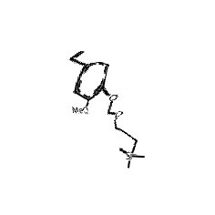 C=Cc1ccc(OCOCC[Si](C)(C)C)c(OC)c1